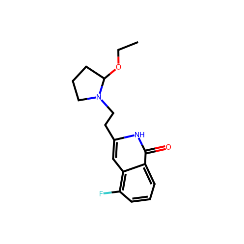 CCOC1CCCN1CCc1cc2c(F)cccc2c(=O)[nH]1